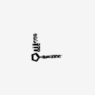 [C]=O.[C]=O.[C]=O.[C]=O.[Cl-].[Cl-].[Cl-].[Cl-].[Cl-].[Cl-].[Re+6][C]1=CC=CC1